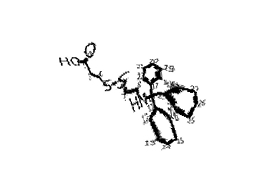 O=C(O)CCSSCCNC(c1ccccc1)(c1ccccc1)c1ccccc1